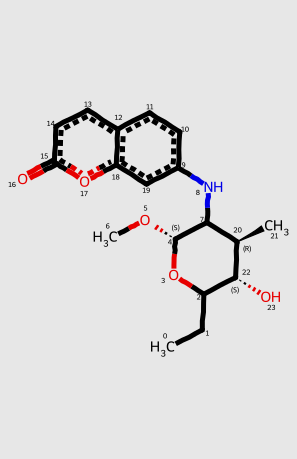 CCC1O[C@H](OC)C(Nc2ccc3ccc(=O)oc3c2)[C@@H](C)[C@@H]1O